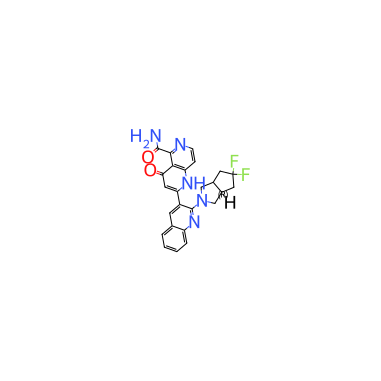 NC(=O)c1nccc2[nH]c(-c3cc4ccccc4nc3N3CC4CC(F)(F)C[C@H]4C3)cc(=O)c12